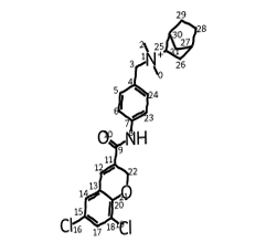 C[N+](C)(Cc1ccc(NC(=O)C2=Cc3cc(Cl)cc(Cl)c3OC2)cc1)C1CC2CCC1C2